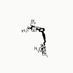 COC(=O)C(C)NC(=O)c1cccc(C#CCCCS(=O)(=O)N(C)C)c1